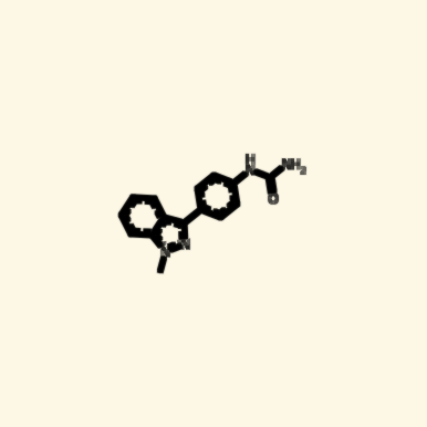 Cn1nc(-c2ccc(NC(N)=O)cc2)c2ccccc21